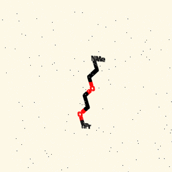 CCCOCCOCCNC